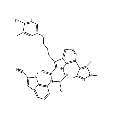 Cc1cc(OCCCc2c3n(c4c(-c5c(C)nn(C)c5C)cccc24)[C@H](C)C(Cl)N(c2cccc4cc(C#N)n(C)c24)C3=O)cc(C)c1Cl